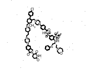 C[C@@]1(CN2CCC(CCN3CCN(c4ccc5c(c4)CN(C4CCC(=O)NC4=O)C5=O)CC3)CC2)CCC(c2ccc(Cl)cc2)=C(CN2CCN(c3ccc(C(=O)NS(=O)(=O)c4ccc(N[C@H](CCN5CCCOCC5)CSc5ccccc5)c(S(=O)(=O)C(F)(F)F)c4)cc3)CC2)C1